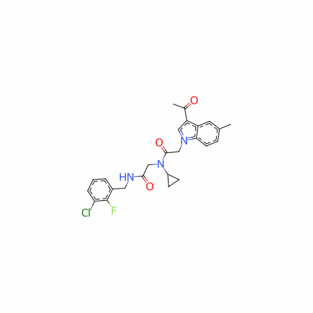 CC(=O)c1cn(CC(=O)N(CC(=O)NCc2cccc(Cl)c2F)C2CC2)c2ccc(C)cc12